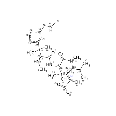 CN[C@H](C(=O)N[C@H](C(=O)N(C)[C@H](/C=C(\C)C(=O)O)C(C)C)C(C)(C)C)C(C)(C)c1cccc(CNI)c1